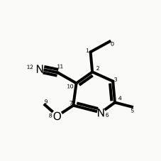 CCc1cc(C)nc(OC)c1C#N